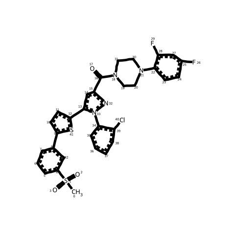 CS(=O)(=O)c1cccc(-c2ccc(-c3cc(C(=O)N4CCN(c5ccc(F)cc5F)CC4)nn3-c3ccccc3Cl)s2)c1